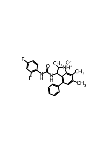 Cc1cc(-c2ccccc2)c2c(c1C)[NH+]([O-])C(C)C2NC(=O)Nc1ccc(F)cc1F